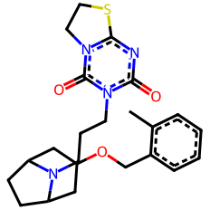 Cc1ccccc1COC1CC2CCC(C1)N2CCCn1c(=O)nc2n(c1=O)CCS2